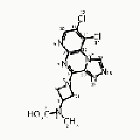 CN(C(=O)O)C1CN(c2nc3ncc(Cl)c(Cl)c3n3cnnc23)C1